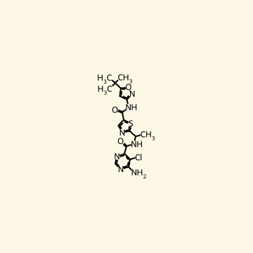 CC(NC(=O)c1ncnc(N)c1Cl)c1ncc(C(=O)Nc2cc(C(C)(C)C)on2)s1